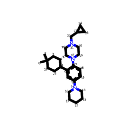 CC1(C)CCC(c2cc(N3CCCCC3)ccc2N2CCN(CC3CC3)CC2)CC1